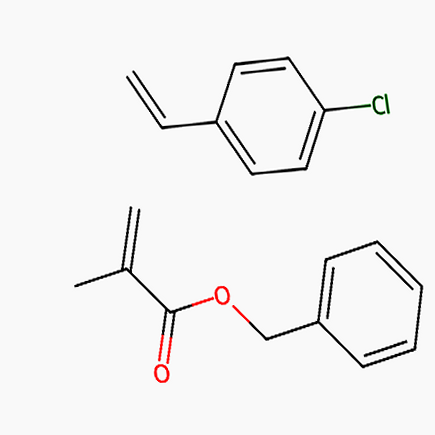 C=C(C)C(=O)OCc1ccccc1.C=Cc1ccc(Cl)cc1